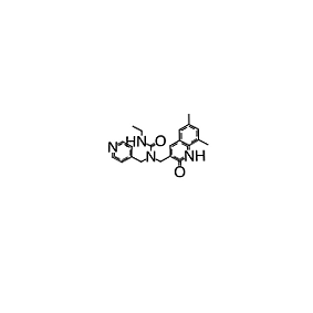 CCNC(=O)N(Cc1ccncc1)Cc1cc2cc(C)cc(C)c2[nH]c1=O